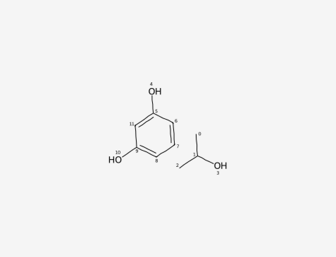 CC(C)O.Oc1cccc(O)c1